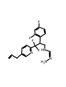 C=CCc1ccc(C(F)(F)C(CN/C=N\N)c2ccc(F)cc2F)nc1